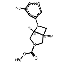 CC(C)(C)OC(=O)N1C[C@H]2CN(c3cncc(C#N)c3)[C@H]2C1